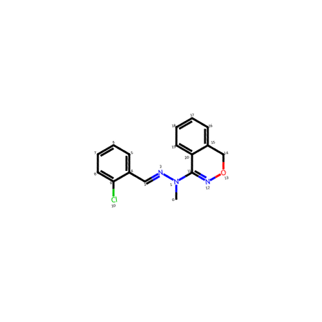 CN(N=Cc1ccccc1Cl)C1=NOCc2ccccc21